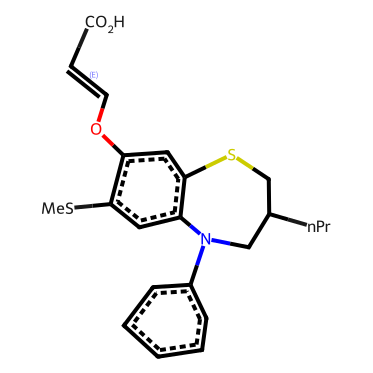 CCCC1CSc2cc(O/C=C/C(=O)O)c(SC)cc2N(c2ccccc2)C1